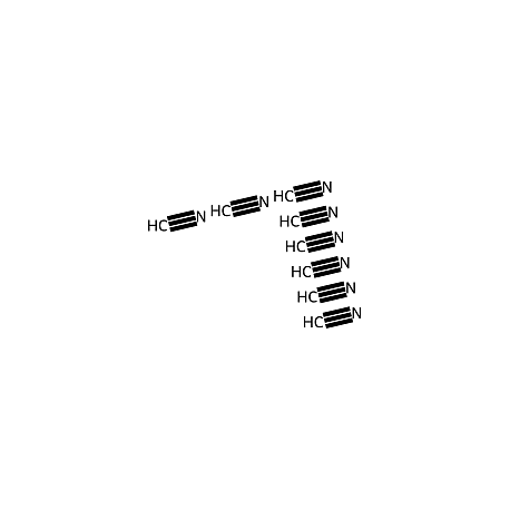 C#N.C#N.C#N.C#N.C#N.C#N.C#N.C#N